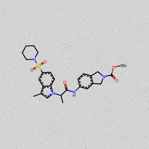 Cc1cn(C(C)C(=O)Nc2ccc3c(c2)CN(C(=O)OC(C)(C)C)C3)c2ccc(S(=O)(=O)N3CCCCC3)cc12